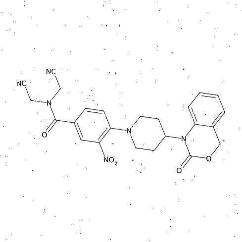 N#CCN(CC#N)C(=O)c1ccc(N2CCC(N3C(=O)OCc4ccccc43)CC2)c([N+](=O)[O-])c1